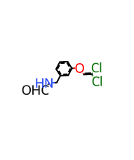 O=CNCc1cccc(OC=C(Cl)Cl)c1